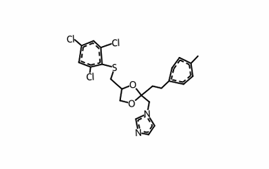 Cc1ccc(CCC2(Cn3ccnc3)OCC(CSc3c(Cl)cc(Cl)cc3Cl)O2)cc1